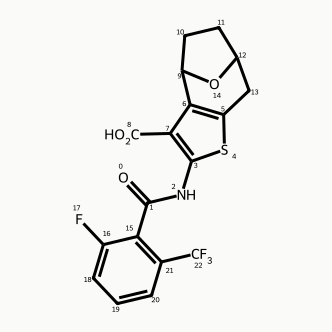 O=C(Nc1sc2c(c1C(=O)O)C1CCC(C2)O1)c1c(F)cccc1C(F)(F)F